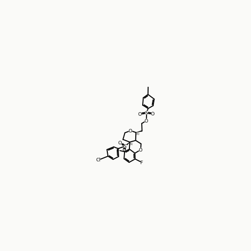 Cc1ccc(S(=O)(=O)OCC[C@@H]2OCC[C@@]3(S(=O)(=O)c4ccc(Cl)cc4)c4c(F)ccc(F)c4OCC23)cc1